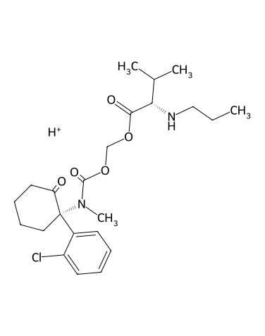 CCCN[C@H](C(=O)OCOC(=O)N(C)[C@]1(c2ccccc2Cl)CCCCC1=O)C(C)C.[H+]